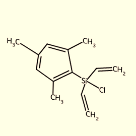 C=C[Si](Cl)(C=C)c1c(C)cc(C)cc1C